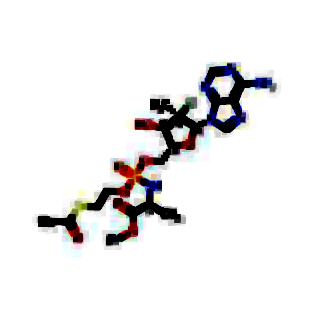 CC(C)OC(=O)[C@H](C)NP(=O)(OCCSC(=O)C(C)(C)C)OC[C@H]1O[C@@H](n2cnc3c(N)ncnc32)[C@](C)(Cl)[C@@H]1O